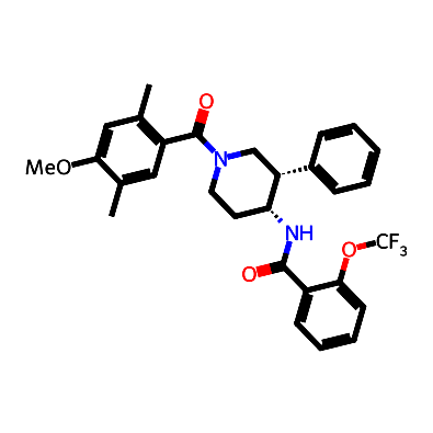 COc1cc(C)c(C(=O)N2CC[C@@H](NC(=O)c3ccccc3OC(F)(F)F)[C@@H](c3ccccc3)C2)cc1C